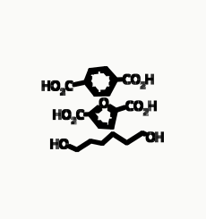 O=C(O)c1ccc(C(=O)O)cc1.O=C(O)c1ccc(C(=O)O)o1.OCCCCCCO